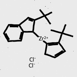 CC(C)(C)C1=Cc2ccccc2[CH]1[Zr+2][C]1=C(C(C)(C)C)C=CC1.[Cl-].[Cl-]